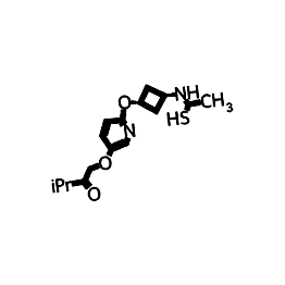 CC(S)N[C@H]1C[C@@H](Oc2ccc(OCC(=O)C(C)C)cn2)C1